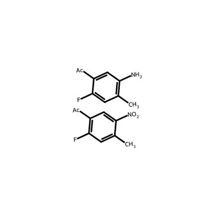 CC(=O)c1cc(N)c(C)cc1F.CC(=O)c1cc([N+](=O)[O-])c(C)cc1F